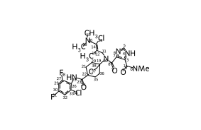 CNC(=O)c1[nH]cnc1C(=O)N(CC(C)=C(Cl)N(C)C)C12CCC(C(=O)Nc3c(F)cc(F)cc3Cl)(CC1)CC2